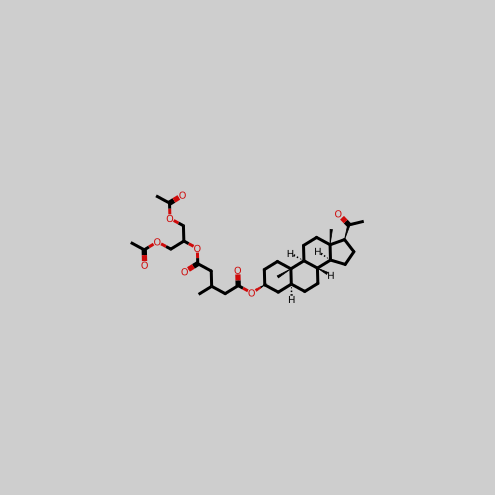 CC(=O)OCC(COC(C)=O)OC(=O)CC(C)CC(=O)O[C@H]1CC[C@@]2(C)[C@@H](CC[C@@H]3[C@@H]2CC[C@]2(C)[C@@H](C(C)=O)CC[C@@H]32)C1